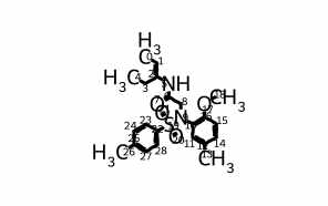 C/C=C(\CC)NC(=O)CN(c1cc(C)ccc1OC)S(=O)(=O)c1ccc(C)cc1